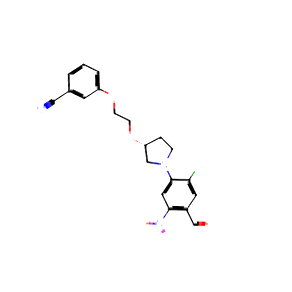 N#Cc1cccc(OCCO[C@H]2CCN(c3cc([N+](=O)[O-])c(C=O)cc3Br)C2)c1